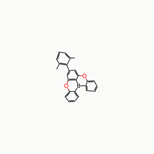 Cc1cccc(C)c1-c1cc2c3c(c1)Oc1ccccc1B3c1ccccc1O2